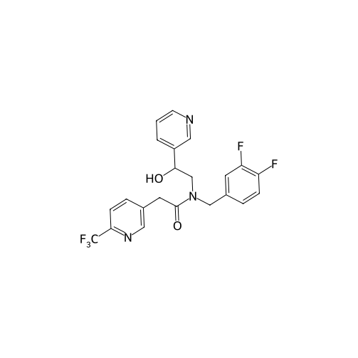 O=C(Cc1ccc(C(F)(F)F)nc1)N(Cc1ccc(F)c(F)c1)CC(O)c1cccnc1